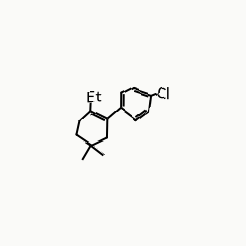 CCC1=C(c2ccc(Cl)cc2)CC(C)(C)CC1